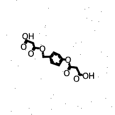 O=C(O)CC(=O)OCc1ccc(OC(=O)CC(=O)O)cc1